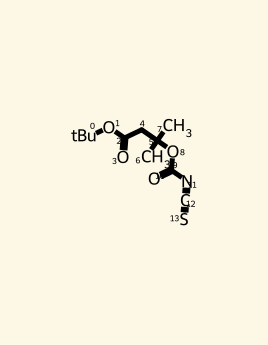 CC(C)(C)OC(=O)CC(C)(C)OC(=O)N=C=S